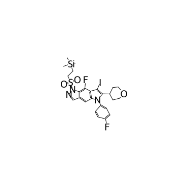 C[Si](C)(C)CCS(=O)(=O)n1ncc2cc3c(c(I)c(C4CCOCC4)n3-c3ccc(F)cc3)c(F)c21